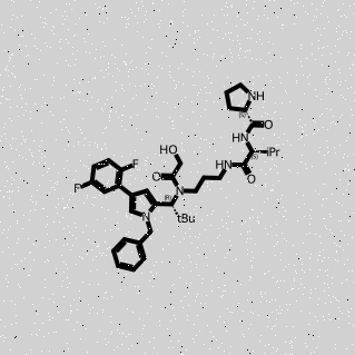 CC(C)[C@H](NC(=O)[C@@H]1CCCN1)C(=O)NCCCN(C(=O)CO)[C@@H](c1cc(-c2cc(F)ccc2F)cn1Cc1ccccc1)C(C)(C)C